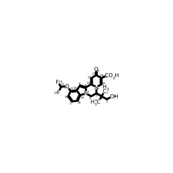 CC(C)(CO)C1Cn2c(cc3c(OC(F)F)cccc32)-c2cc(=O)c(C(=O)O)cn21